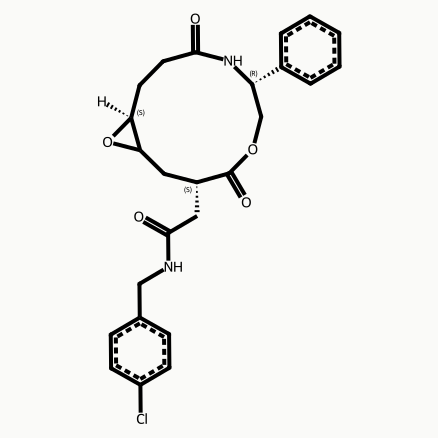 O=C(C[C@@H]1CC2O[C@H]2CCC(=O)N[C@H](c2ccccc2)COC1=O)NCc1ccc(Cl)cc1